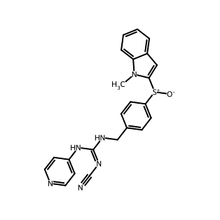 Cn1c([S+]([O-])c2ccc(CNC(=NC#N)Nc3ccncc3)cc2)cc2ccccc21